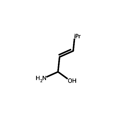 CC(C)C=CC(N)O